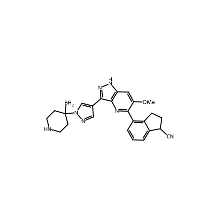 BC1(n2cc(-c3n[nH]c4cc(OC)c(-c5cccc6c5CCC6C#N)nc34)cn2)CCNCC1